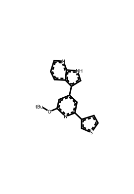 CC(C)(C)Oc1cc(-c2c[nH]c3ncccc23)cc(-c2ccsc2)n1